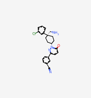 N#Cc1cccc(-c2ccc(=O)n([C@H]3CC[C@](CN)(c4cccc(Cl)c4)CC3)n2)c1